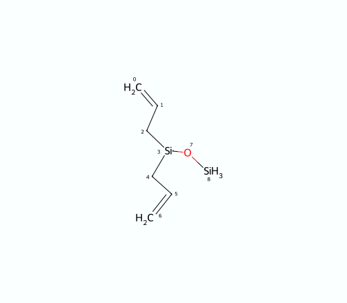 C=CC[Si](CC=C)O[SiH3]